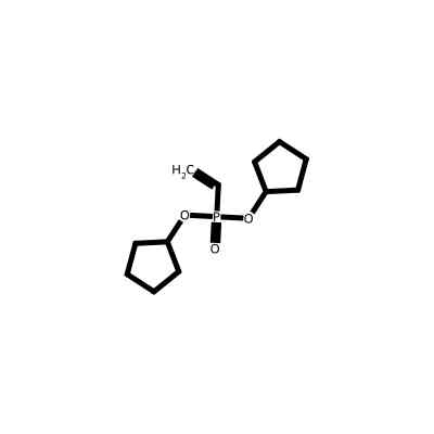 C=CP(=O)(OC1CCCC1)OC1CCCC1